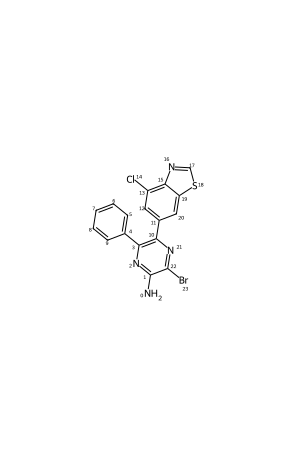 Nc1nc(-c2ccccc2)c(-c2cc(Cl)c3ncsc3c2)nc1Br